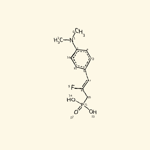 CN(C)c1ccc(C=C(F)CP(=O)(O)O)cc1